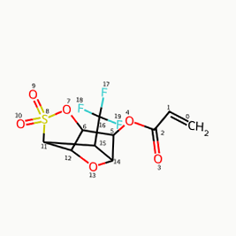 C=CC(=O)OC1C2OS(=O)(=O)C3C2OC1C3C(F)(F)F